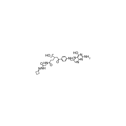 Nc1nc(O)c2nc(CNc3ccc(C(=O)CC(CCC(=O)NCC(=O)NN=C4CCC4)C(=O)O)cc3)cnc2n1